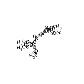 C=CC(=O)OCCOCC(COCCOC(=O)C=C)(COCCOC(=O)C=C)COCCOC(=O)CCN1CCN(c2ccc(C(=O)C(CC)(Cc3ccc(C)cc3)N(C)CCCCCCCCCCCC)cc2)CC1